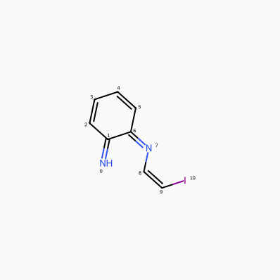 N=C1C=CC=C/C1=N/C=C\I